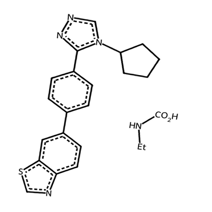 CCNC(=O)O.c1nc2ccc(-c3ccc(-c4nncn4C4CCCC4)cc3)cc2s1